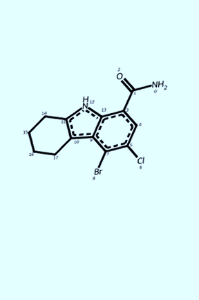 NC(=O)c1cc(Cl)c(Br)c2c3c([nH]c12)CCCC3